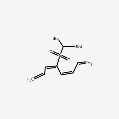 C=C/C=C\C(=C/C=C)S(=O)(=O)C(C(C)(C)C)C(C)(C)C